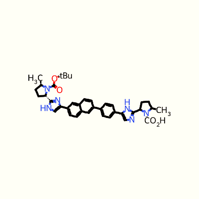 CC1CCC(c2ncc(-c3ccc(-c4ccc5cc(-c6c[nH]c([C@@H]7CC[C@@H](C)N7C(=O)OC(C)(C)C)n6)ccc5c4)cc3)[nH]2)N1C(=O)O